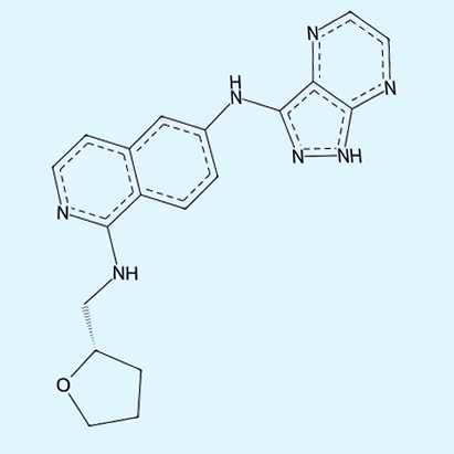 c1cc2cc(Nc3n[nH]c4nccnc34)ccc2c(NC[C@@H]2CCCO2)n1